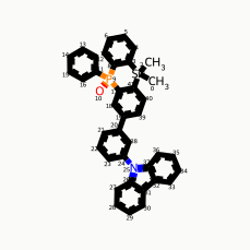 C[Si]1(C)c2ccccc2P(=O)(c2ccccc2)c2cc(-c3cccc(-n4c5ccccc5c5ccccc54)c3)ccc21